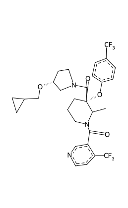 CC1N(C(=O)c2cnccc2C(F)(F)F)CCC[C@@]1(Oc1ccc(C(F)(F)F)cc1)C(=O)N1CC[C@@H](OCC2CC2)C1